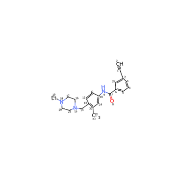 C#Cc1cccc(C(=O)Nc2ccc(CN3CCN(CC)CC3)c(C(F)(F)F)c2)c1